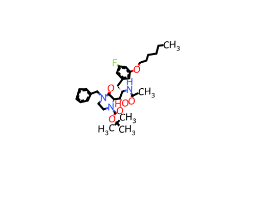 CCCCCCOc1cc(F)cc(C[C@H](NC(C)=O)[C@H](O)[C@H]2C(=O)N(Cc3ccccc3)CCN2C(=O)OC(C)(C)C)c1